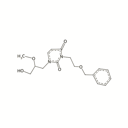 COC(CO)Cn1ccc(=O)n(CCOCc2ccccc2)c1=O